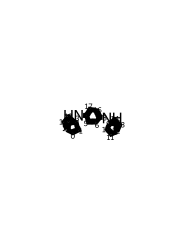 C1=CC2(Nc3ccc(NC45C=CC(CC4)C5)cc3)CCC1C2